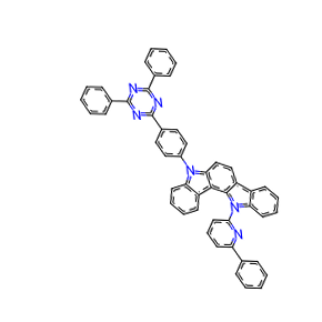 c1ccc(-c2cccc(-n3c4ccccc4c4ccc5c(c6ccccc6n5-c5ccc(-c6nc(-c7ccccc7)nc(-c7ccccc7)n6)cc5)c43)n2)cc1